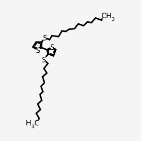 CCCCCCCCCCCCCCSc1ccsc1-c1sccc1SCCCCCCCCCCCCCC